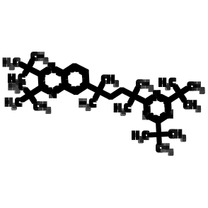 CC(C)(C)c1nc(C(C)(C)C)nc(C(C)(C)CCC(C)(C)c2ccc3nc(C(C)(C)C)c(C(C)(C)C)nc3c2)n1